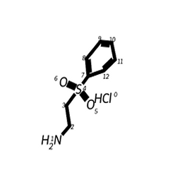 Cl.NCCS(=O)(=O)c1ccccc1